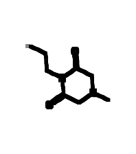 [CH2]CCN1C(=O)CN(C)CC1=O